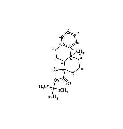 CC(C)(C)OC(=O)C1(C)CCCC2(C)c3ccccc3CCC12